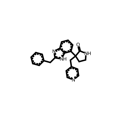 O=C1NCCC1(Cc1ccncc1)c1cccc2nc(Cc3ccccc3)[nH]c12